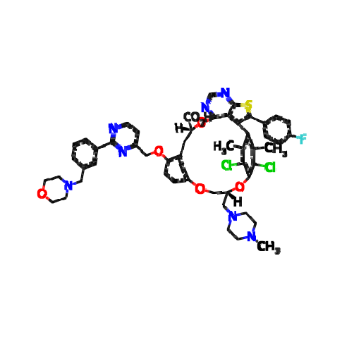 Cc1c(Cl)c2c(Cl)c(C)c1-c1c(-c3ccc(F)cc3)sc3ncnc(c13)O[C@@H](C(=O)O)Cc1cc(ccc1OCc1ccnc(-c3cccc(CN4CCOCC4)c3)n1)OC[C@@H](CN1CCN(C)CC1)O2